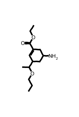 CCCOC(C)C1C=C(C(=O)OCC)CC(N)C1